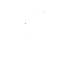 COC(CN(C)C(=O)NC1NCCCC12C=CCCC2)OC